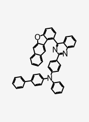 c1ccc(-c2ccc(N(c3ccccc3)c3ccc(-c4nc(-c5cccc6oc7cc8ccccc8cc7c56)c5ccccc5n4)cc3)cc2)cc1